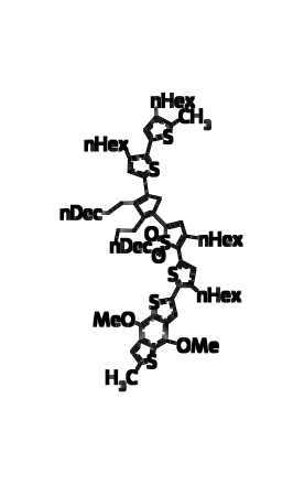 CCCCCCCCCCCCC1=C(C2=CC(CCCCCC)=C(c3cc(CCCCCC)c(-c4cc5c(OC)c6sc(C)cc6c(OC)c5s4)s3)S2(=O)=O)CC(c2cc(CCCCCC)c(-c3cc(CCCCCC)c(C)s3)s2)=C1CCCCCCCCCCCC